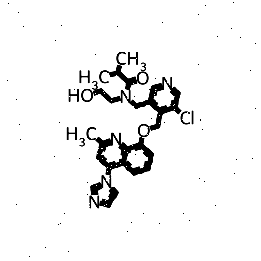 Cc1cc(-n2ccnc2)c2cccc(OCc3c(Cl)cncc3CN(CCO)C(=O)C(C)C)c2n1